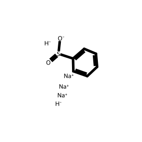 O=S([O-])c1ccccc1.[H-].[H-].[Na+].[Na+].[Na+]